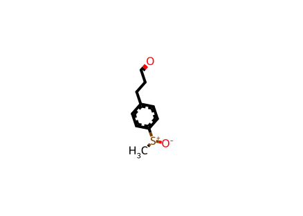 C[S+]([O-])c1ccc(CCC=O)cc1